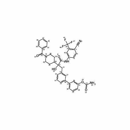 N#Cc1ccc(NC(=O)C(O)(Cc2cccc(-c3cccc(OC(N)=O)c3)c2)C2CCN(C(=O)c3ccccc3)CC2)cc1C(F)(F)F